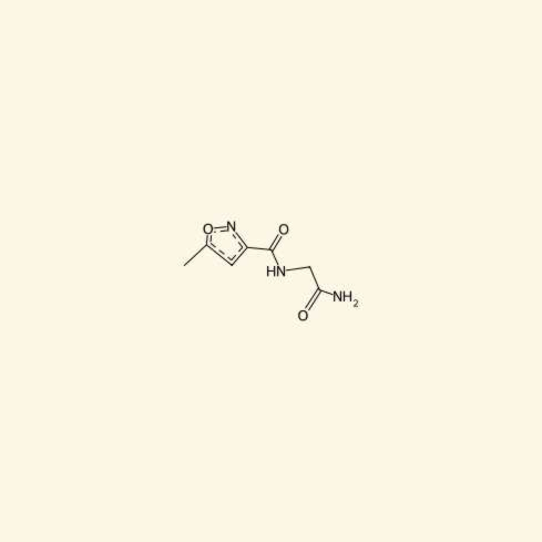 Cc1cc(C(=O)NCC(N)=O)no1